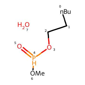 CCCCCCO[PH](=O)OC.O